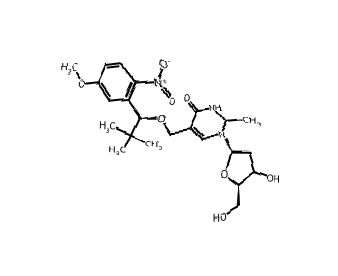 COc1ccc([N+](=O)[O-])c([C@@H](OCC2=CN([C@H]3CC(O)[C@@H](CO)O3)C(C)NC2=O)C(C)(C)C)c1